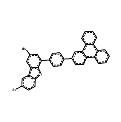 CC(C)(C)c1ccc2sc3c(-c4ccc(-c5ccc6c7ccccc7c7ccccc7c6c5)cc4)cc(C(C)(C)C)cc3c2c1